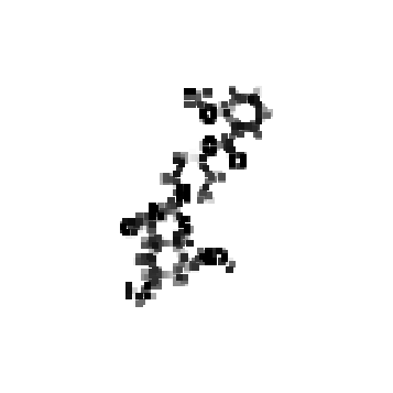 CCOc1ccccc1C(=O)OC1CCN(c2nc(=O)c3cc(C(F)(F)F)cc([N+](=O)[O-])c3s2)CC1